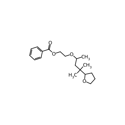 CC(CC(C)(C)C1CCCO1)OCCOC(=O)c1ccccc1